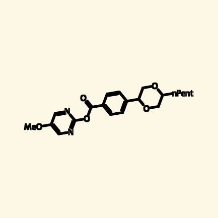 CCCCCC1COC(c2ccc(C(=O)Oc3ncc(OC)cn3)cc2)CO1